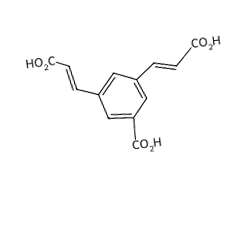 O=C(O)C=Cc1cc(C=CC(=O)O)cc(C(=O)O)c1